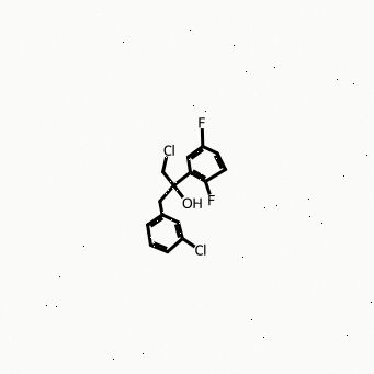 OC(CCl)(Cc1cccc(Cl)c1)c1cc(F)ccc1F